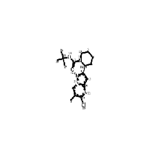 Cc1cn2nc([C@@H]3CCCCN3C(=O)OC(C)(C)C)cc2nc1Cl